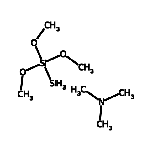 CN(C)C.CO[Si]([SiH3])(OC)OC